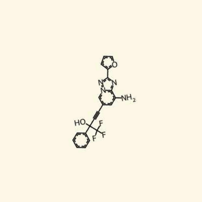 Nc1cc(C#CC(O)(c2ccccc2)C(F)(F)F)cn2nc(-c3ccco3)nc12